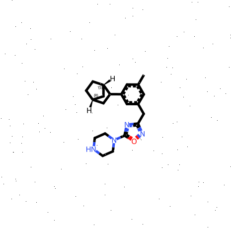 Cc1cc(Cc2noc(N3CCNCC3)n2)cc(C2C[C@@H]3CC[C@H]2C3)c1